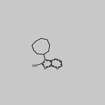 Sc1nc2ncccc2n1C1CCCCCCCC1